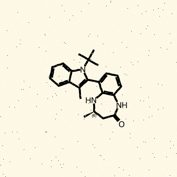 Cc1c(-c2cccc3c2N[C@H](C)CC(=O)N3)n(C(C)(C)C)c2ccccc12